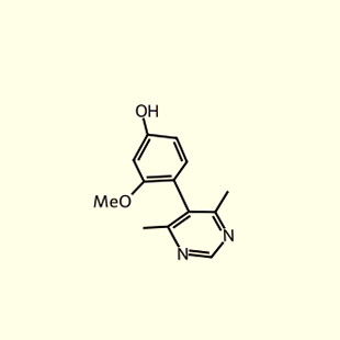 COc1cc(O)ccc1-c1c(C)ncnc1C